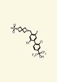 CCc1cc(CN2CC3(C2)CN(S(C)(=O)=O)C3)c(F)cc1-c1ccc(C(O)(C(F)(F)F)C(F)(F)F)cc1Cl